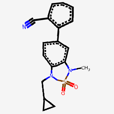 CN1c2cc(-c3ccccc3C#N)ccc2N(CC2CC2)S1(=O)=O